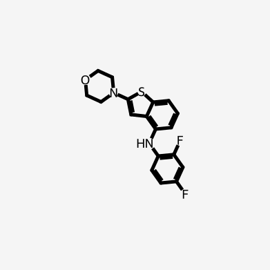 Fc1ccc(Nc2cccc3sc(N4CCOCC4)cc23)c(F)c1